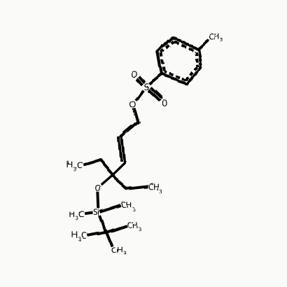 CCC(/C=C/COS(=O)(=O)c1ccc(C)cc1)(CC)O[Si](C)(C)C(C)(C)C